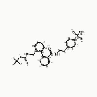 CC(C)(C)OC(=O)NCc1ccccc1-c1ccccc1C(=O)NCCc1ccc(S(N)(=O)=O)cc1